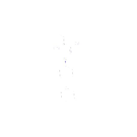 CC(C)C(=N)/C(N)=C\N[C@H]1CC[C@H](N2CCOCC2)CC1